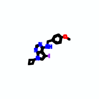 COc1ccc(CNc2ncnc3c2c(I)cn3C2CCC2)cc1